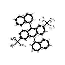 CC(C)(C)c1ccc2c(-c3cccc4ccccc34)c3cc(C(C)(C)C)ccc3c(-c3cccc4ccccc34)c2c1